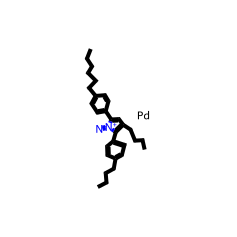 CCCCCCc1ccc(C2=CC(CCCC)=C(c3ccc(CCCC)cc3)[N+]2=[N-])cc1.[Pd]